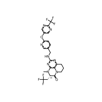 CN1c2nc(NCc3ccc(Oc4cnc(C(F)(F)F)nc4)nc3)nc3c2N(CCC3)C(=O)[C@@H]1CC(F)(F)F